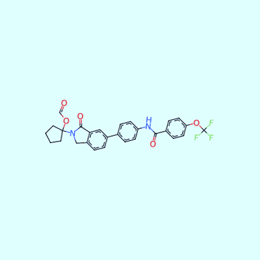 O=COC1(N2Cc3ccc(-c4ccc(NC(=O)c5ccc(OC(F)(F)F)cc5)cc4)cc3C2=O)CCCC1